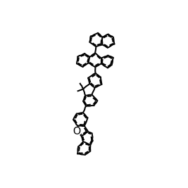 CC1(C)c2cc(-c3ccc4oc5c6ccccc6ccc5c4c3)ccc2-c2ccc(-c3c4ccccc4c(-c4cccc5ccccc45)c4ccccc34)cc21